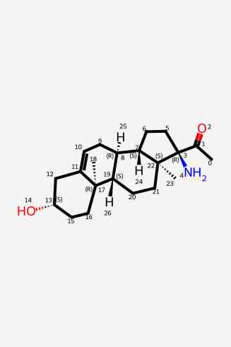 CC(=O)[C@@]1(N)CC[C@H]2[C@@H]3CC=C4C[C@@H](O)CC[C@]4(C)[C@H]3CC[C@@]21C